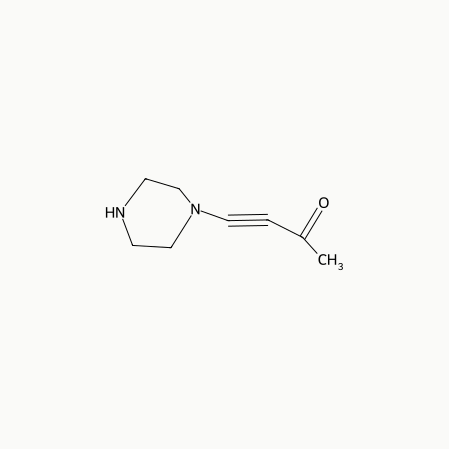 CC(=O)C#CN1CCNCC1